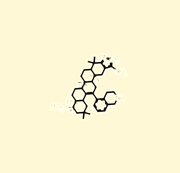 CC1(C)CC2C3=C(c4cccc5c4CCNC5)CC4[C@@]5(C)Cc6c(n[nH]c6N)C(C)(C)C5CC[C@@]4(C)[C@]3(C)CC[C@@H]2[C@H](C(=O)O)C1